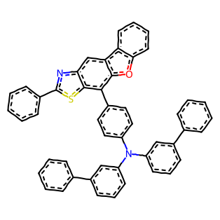 c1ccc(-c2cccc(N(c3ccc(-c4c5oc6ccccc6c5cc5nc(-c6ccccc6)sc45)cc3)c3cccc(-c4ccccc4)c3)c2)cc1